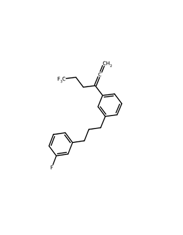 C=C=C(CCC(F)(F)F)c1cccc(CCCc2cccc(F)c2)c1